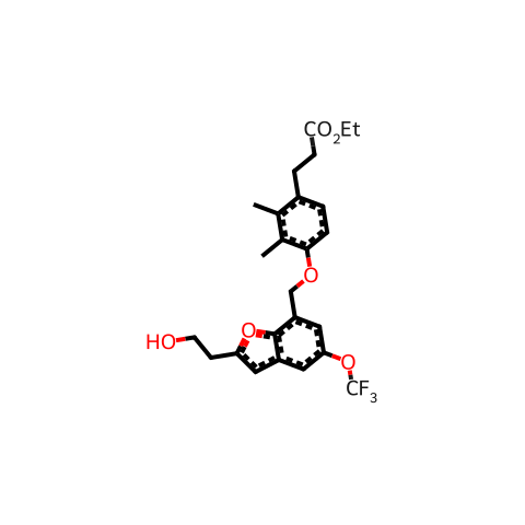 CCOC(=O)CCc1ccc(OCc2cc(OC(F)(F)F)cc3cc(CCO)oc23)c(C)c1C